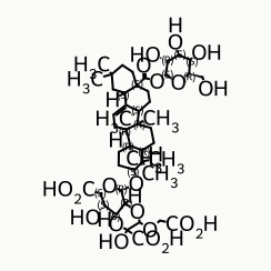 CC1(C)CC[C@]2(C(=O)O[C@@H]3O[C@H](CO)[C@@H](O)[C@H](O)[C@H]3O)CC[C@]3(C)C(=CC[C@@H]4[C@@]5(C)CC[C@H](O[C@@H]6O[C@H](C(=O)O)[C@@H](O)[C@@H]7OC(O)(C(=O)O)C(OCC(=O)O)O[C@@H]67)C(C)(C)[C@@H]5CC[C@]43C)[C@@H]2C1